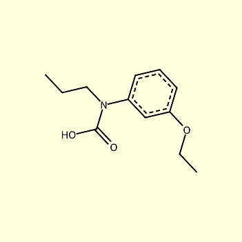 CCCN(C(=O)O)c1cccc(OCC)c1